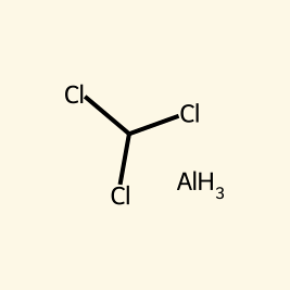 ClC(Cl)Cl.[AlH3]